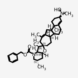 CC1=C2C[C@H]3[C@@H](CCC4=CC(=[N+](C)O)CC[C@@]43C)[C@@H]2CC[C@@]2(C1)O[C@@H]1C[C@H](C)CN(C(=O)OCc3ccccc3)[C@H]1[C@H]2C